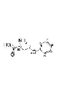 N[C@H](CCOc1ccccc1)C(=O)O